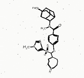 CN(C(=O)c1ccc(OC(C2CCNCC2)S(=O)(=O)c2cn(C)cn2)cc1)C1C2CC3CC1CC(O)(C3)C2